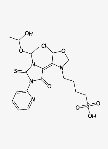 CC(O)OC(C)N1C(=S)N(c2ccccn2)C(=O)C1=C1C(Cl)OCN1CCCCS(=O)(=O)O